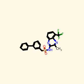 Cc1nc2c(C(F)(F)F)cccc2nc1NS(=O)(=O)Cc1cccc(-c2ccccc2)c1